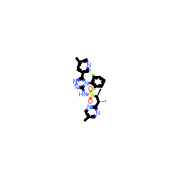 Cc1cnc([C@@H](C)[C@H](C)S(=O)(=O)Nc2nnc(-c3cncc(C)c3)n2-c2c(F)cccc2F)nc1